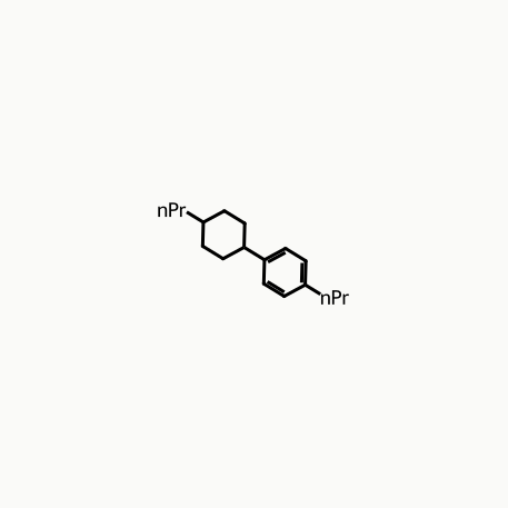 CCCc1ccc(C2CCC(CCC)CC2)cc1